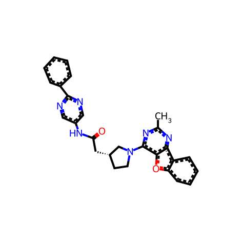 Cc1nc(N2CC[C@H](CC(=O)Nc3cnc(-c4ccccc4)nc3)C2)c2oc3ccccc3c2n1